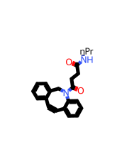 CCCNC(=O)CCC(=O)N1Cc2ccccc2C#Cc2ccccc21